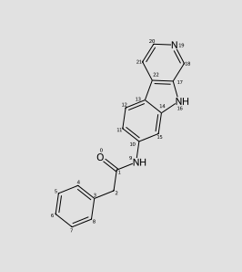 O=C(Cc1ccccc1)Nc1ccc2c(c1)[nH]c1cnccc12